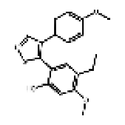 CCc1cc(-c2sncc2C2C=CC(OC)=CC2)c(O)cc1OC